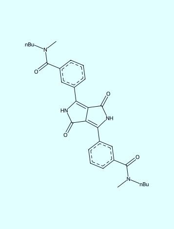 CCCCN(C)C(=O)c1cccc(C2=C3C(=O)NC(c4cccc(C(=O)N(C)CCCC)c4)=C3C(=O)N2)c1